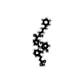 O=C(O)CCc1ccccc1C[C@@H]1[C@H](Cn2cnc(C(=O)NCCCCC3CCCCC3)c2)[C@H]2CC[C@@H]1O2